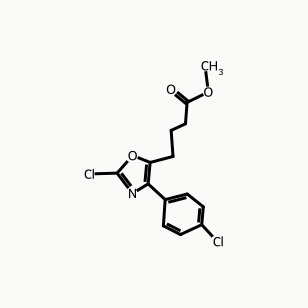 COC(=O)CCCc1oc(Cl)nc1-c1ccc(Cl)cc1